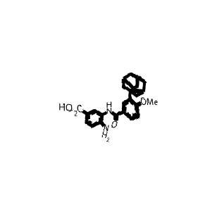 COc1ccc(C(=O)Nc2cc(C(=O)O)ccc2N)cc1C12CC3CC(CC(C3)C1)C2